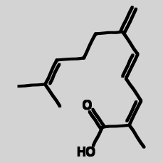 C=C(C=CC=C(C)C(=O)O)CCC=C(C)C